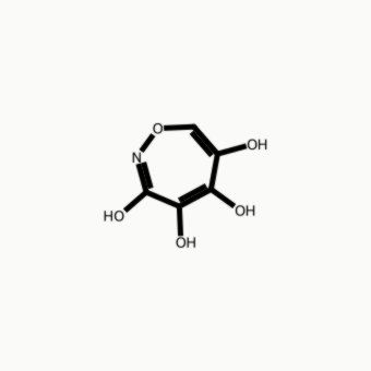 OC1=CON=C(O)C(O)=C1O